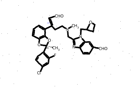 CN(CC/C(=C\C=O)c1cccc2c1O[C@@](C)(c1ccc(Cl)cc1F)O2)Cc1nc2ccc(C=O)cc2n1CC1CCO1